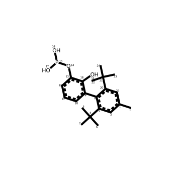 Cc1cc(C(C)(C)C)c(-c2cccc(OP(O)O)c2O)c(C(C)(C)C)c1